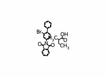 CCC(C)C(=O)O.O=C1c2ccccc2C(=O)N1c1ccc(-c2ccccc2)c(Br)c1